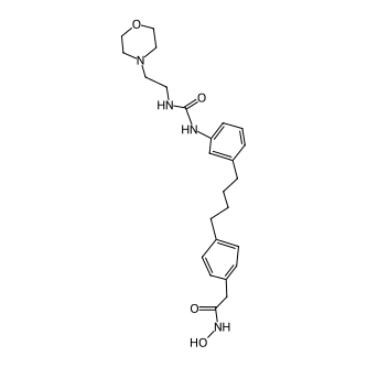 O=C(Cc1ccc(CCCCc2cccc(NC(=O)NCCN3CCOCC3)c2)cc1)NO